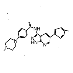 C=C(Nc1n[nH]c2ncc(-c3ccc(C)cc3)cc12)c1ccc(N2CCN(C)CC2)cc1